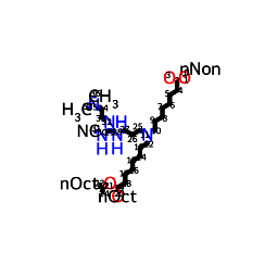 CCCCCCCCCOC(=O)CCCCCCCN(CCCCCCCC(=O)OC(CCCCCCCC)CCCCCCCC)CCCNC(NC#N)NCCN(C)C